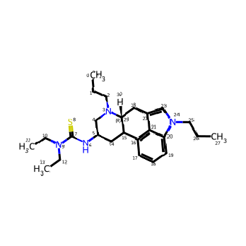 CCCN1CC(NC(=S)N(CC)CC)CC2c3cccc4c3c(cn4CCC)C[C@H]21